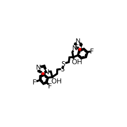 OC(CCSSCCC(O)(Cn1cncn1)c1ccc(F)cc1F)(Cn1cncn1)c1ccc(F)cc1F